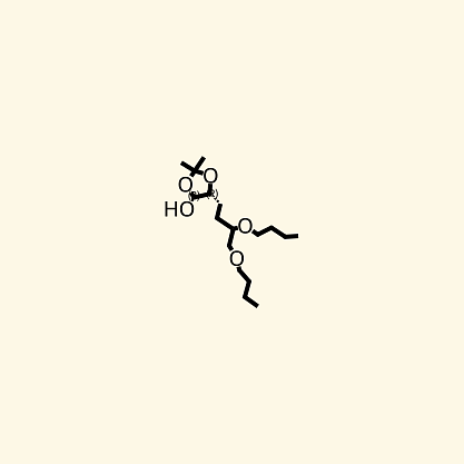 CCCCOCC(CC[C@H]1OC(C)(C)O[C@H]1O)OCCCC